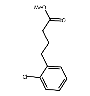 COC(=O)CCCc1ccccc1Cl